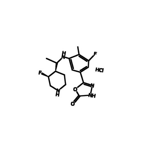 Cc1c(F)cc(-c2n[nH]c(=O)o2)cc1NC(C)[C@H]1CCNC[C@H]1F.Cl